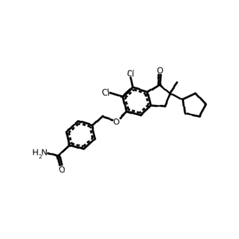 CC1(C2CCCC2)Cc2cc(OCc3ccc(C(N)=O)cc3)c(Cl)c(Cl)c2C1=O